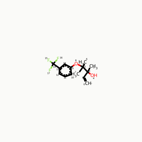 [CH]=CC(C)(O)C(C)(C)Oc1cccc(C(F)(F)F)c1